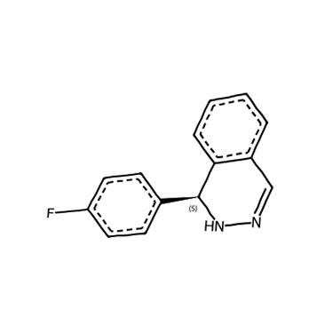 Fc1ccc([C@@H]2NN=Cc3ccccc32)cc1